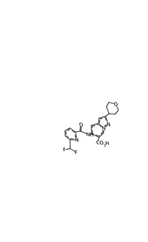 O=C(Nc1cc2cc(C3CCOCC3)nn2cc1C(=O)O)c1cccc(C(F)F)n1